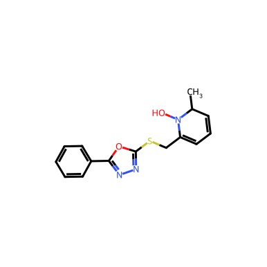 CC1C=CC=C(CSc2nnc(-c3ccccc3)o2)N1O